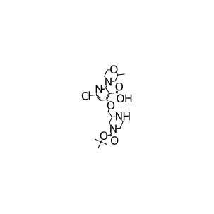 CC1CN(c2nc(Cl)cc(OCC3CN(C(=O)OC(C)(C)C)CCN3)c2C(=O)O)CCO1